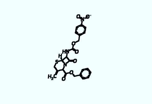 C=C1CS[C@@H]2C(NC(=O)OCc3ccc([N+](=O)[O-])cc3)C(=O)N2C1C(=O)OCc1ccccc1